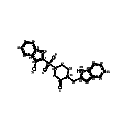 O=C1CN(S(=O)(=O)c2sc3ccccc3c2Cl)CCN1Cc1cc2cnccc2[nH]1